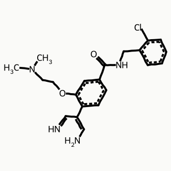 CN(C)CCOc1cc(C(=O)NCc2ccccc2Cl)ccc1/C(C=N)=C/N